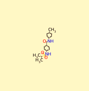 Cc1ccc(NC(=O)c2ccc(NS(=O)(=O)C(C)C)cc2)cc1